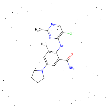 Cc1ncc(Cl)c(Nc2c(C)cc(N3CCCC3)cc2C(N)=O)n1